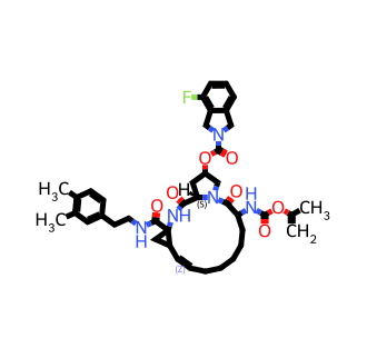 C=C(C)OC(=O)NC1CCCCC/C=C\C2CC2(C(=O)NCCc2ccc(C)c(C)c2)NC(=O)[C@@H]2CC(OC(=O)N3Cc4cccc(F)c4C3)CN2C1=O